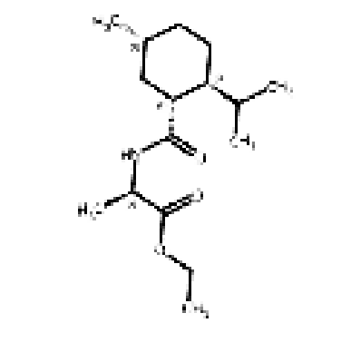 CCOC(=O)[C@@H](C)NC(=O)[C@@H]1C[C@H](C)CC[C@H]1C(C)C